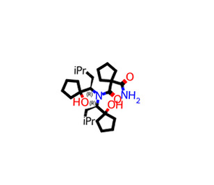 CC(C)C[C@@H](N(C(=O)C1(C(N)=O)CCCC1)[C@H](CC(C)C)C1(O)CCCC1)C1(O)CCCC1